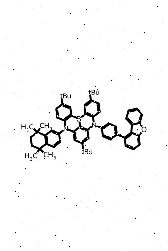 CC(C)(C)c1ccc2c(c1)B1c3cc(C(C)(C)C)ccc3N(c3ccc4c(c3)C(C)(C)CCC4(C)C)c3cc(C(C)(C)C)cc(c31)N2c1ccc(-c2cccc3oc4ccccc4c23)cc1